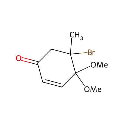 COC1(OC)C=CC(=O)CC1(C)Br